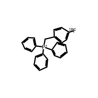 [18F]c1ccc(C[P+](c2ccccc2)(c2ccccc2)c2ccccc2)cc1